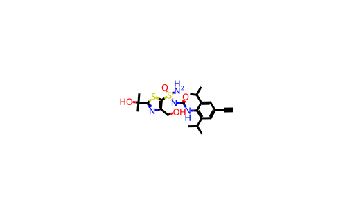 C#Cc1cc(C(C)C)c(NC(=O)N=S(N)(=O)c2sc(C(C)(C)O)nc2CO)c(C(C)C)c1